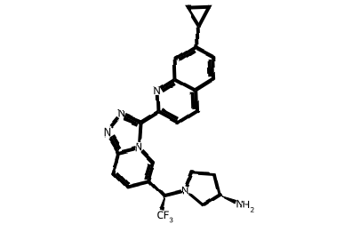 N[C@@H]1CCN([C@H](c2ccc3nnc(-c4ccc5ccc(C6CC6)cc5n4)n3c2)C(F)(F)F)C1